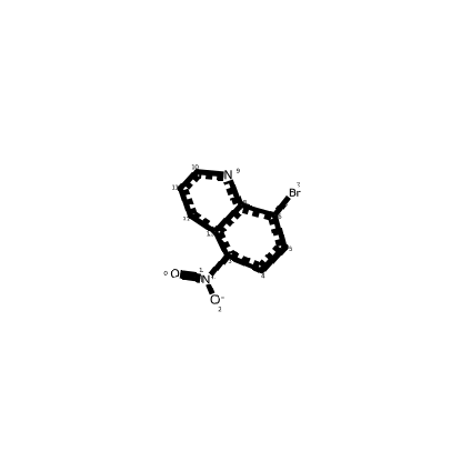 O=[N+]([O-])c1ccc(Br)c2ncccc12